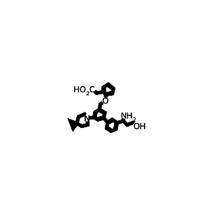 NC(CCO)c1cccc(-c2cc(COc3ccccc3CC(=O)O)cc(N3CCC4(CC3)CC4)c2)c1